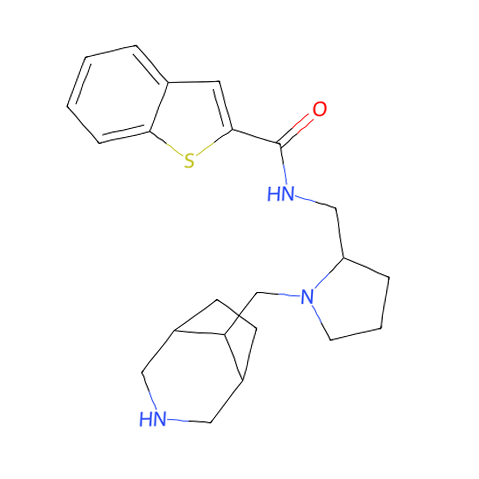 O=C(NCC1CCCN1CC1C2CCC1CNC2)c1cc2ccccc2s1